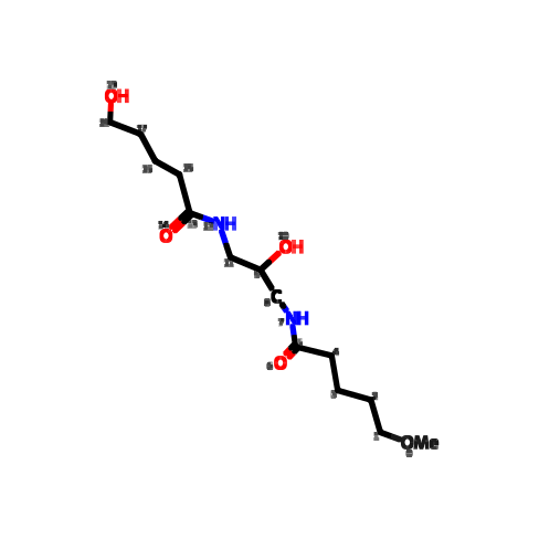 COCCCCC(=O)NCC(O)CNC(=O)CCCCO